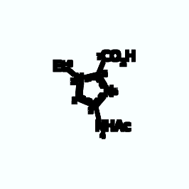 CCn1cc(NC(C)=O)nc1C(=O)O